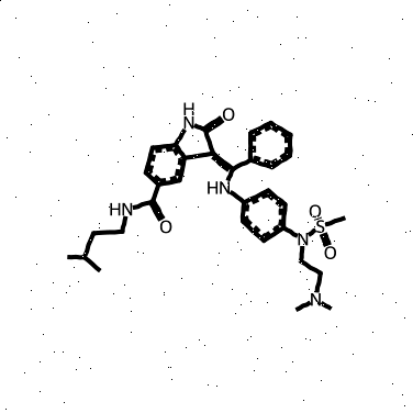 CC(C)CCNC(=O)c1ccc2c(c1)C(=C(Nc1ccc(N(CCN(C)C)S(C)(=O)=O)cc1)c1ccccc1)C(=O)N2